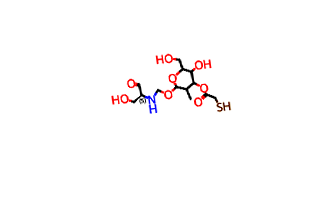 CC1C(OCN[C@H](C=O)CO)OC(CO)C(O)C1OC(=O)CS